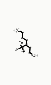 CCCC[C](CCO)C(F)(F)F